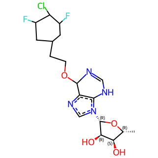 C[C@H]1O[C@@H](n2cnc3c2NC=NC3OCCC2CC(F)C(Cl)C(F)C2)[C@H](O)[C@@H]1O